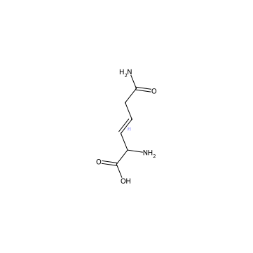 NC(=O)C/C=C/C(N)C(=O)O